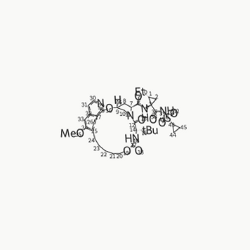 CC[C@@H]1C[C@]1(NC(=O)[C@@H]1C[C@@H]2CN1C(=O)[C@H](C(C)(C)C)NC(=O)OCCCCCc1cc3c(nccc3cc1OC)O2)C(=O)NS(=O)(=O)C1CC1